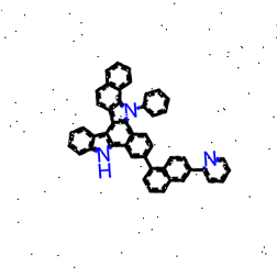 c1ccc(-n2c3c4ccccc4ccc3c3c4c5ccccc5[nH]c4c4cc(-c5cccc6cc(-c7ccccn7)ccc56)ccc4c32)cc1